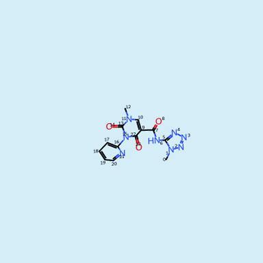 Cn1nnnc1NC(=O)c1cn(C)c(=O)n(-c2ccccn2)c1=O